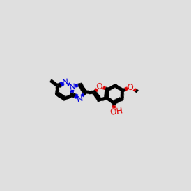 COC1C=C(O)c2cc(-c3cn4nc(C)ccc4n3)oc2C1